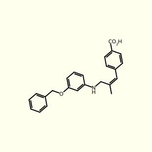 CC(=Cc1ccc(C(=O)O)cc1)CNc1cccc(OCc2ccccc2)c1